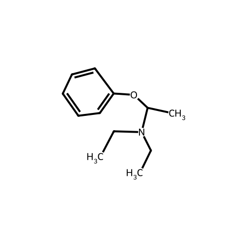 CCN(CC)C(C)Oc1ccccc1